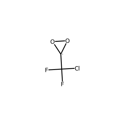 FC(F)(Cl)[C]1OO1